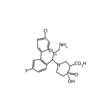 CC[C@@H](CN)C(c1ccc(F)cc1-c1ccc(Cl)cc1)N1CCP(=O)(O)C(C(=O)O)C1